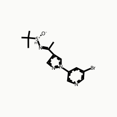 CC(=N[S@@+]([O-])C(C)(C)C)c1cnn(-c2cncc(Br)c2)c1